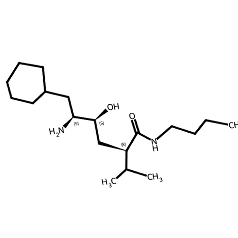 CCCCNC(=O)[C@H](C[C@H](O)[C@@H](N)CC1CCCCC1)C(C)C